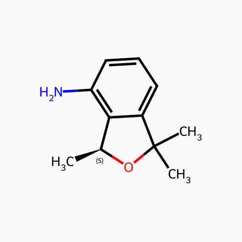 C[C@@H]1OC(C)(C)c2cccc(N)c21